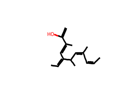 C=C(O)/C(C)=C/C(=C\C)C(C)/C=C(C)\C=C/C